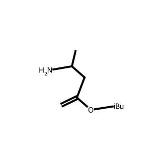 C=C(CC(C)N)OC(C)CC